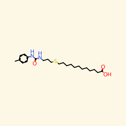 Cc1ccc(NC(=O)NCCCSCCCCCCCCCCCC(=O)O)cc1